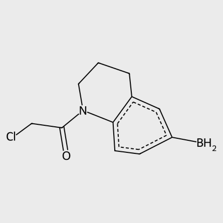 Bc1ccc2c(c1)CCCN2C(=O)CCl